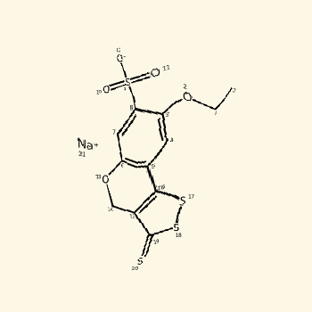 CCOc1cc2c(cc1S(=O)(=O)[O-])OCc1c-2ssc1=S.[Na+]